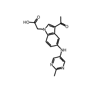 CC(=O)c1cn(CC(=O)O)c2ccc(Nc3cnc(C)nc3)cc12